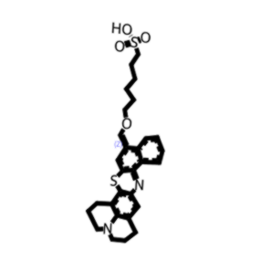 O=S(=O)(O)CCCCCCO/C=c1/cc2c(c3ccccc13)=Nc1cc3c4c(c1S2)CCCN4CCC3